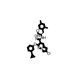 Cc1ccc(C[C@H](CCl)NC(=NO)c2cc3cc(Cl)cn3nc2Oc2cccc(C3CC3)c2)c(C)c1